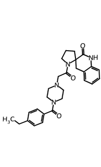 CCc1ccc(C(=O)N2CCN(CC(=O)N3CCCC34Cc3ccccc3NC4=O)CC2)cc1